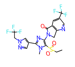 CCS(=O)(=O)c1c(N2Cc3ncc(C(F)(F)F)cc3C2=O)nc(-c2cnn(CC(F)(F)F)c2)n1C